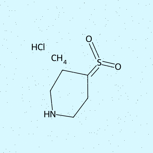 C.Cl.O=S(=O)=C1CCNCC1